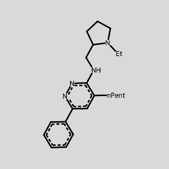 CCCCCc1cc(-c2ccccc2)nnc1NCC1CCCN1CC